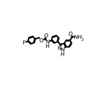 NC(=O)c1ccc2[nH]nc(-c3cccc(NC(=O)OCc4ccc(F)cc4)c3)c2c1